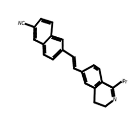 CC(C)C1=NCCc2cc(C=Cc3ccc4cc(C#N)ccc4c3)ccc21